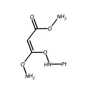 NOC(=O)C=C(ON)O[NH][Pt]